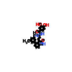 Cc1cc(C)cc(-c2cccc3c2/C(=C/CNNC(=O)c2ccc(O)c(O)c2)C(=O)N3)c1